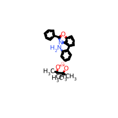 CC1(C)OB(c2ccc(-c3cccc4oc(-c5ccccc5)nc34)c(N)c2)OC1(C)C